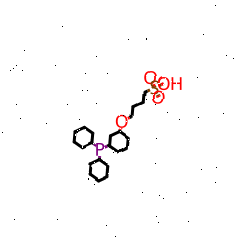 O=S(=O)(O)CCCCOC1CCCC(P(C2CCCCC2)C2CCCCC2)C1